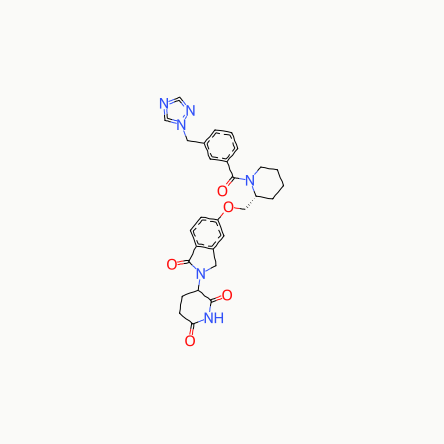 O=C1CCC(N2Cc3cc(OC[C@H]4CCCCN4C(=O)c4cccc(Cn5cncn5)c4)ccc3C2=O)C(=O)N1